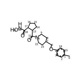 Cc1ccc(OCC2CCN(C(=O)C3CCCC3C(=O)NO)CC2)cc1